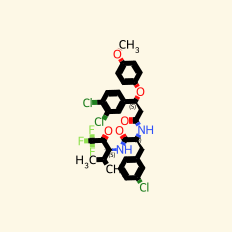 COc1ccc(O[C@@H](CC(=O)N[C@@H](Cc2cccc(Cl)c2)C(=O)N[C@H](C(=O)C(F)(F)F)C(C)C)c2ccc(Cl)c(Cl)c2)cc1